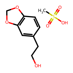 CS(=O)(=O)O.OCCc1ccc2c(c1)OCO2